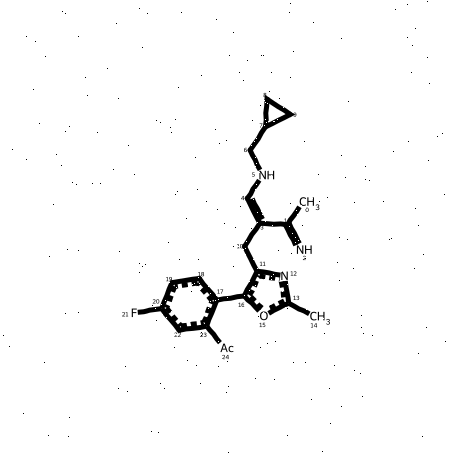 CC(=N)/C(=C\NCC1CC1)Cc1nc(C)oc1-c1ccc(F)cc1C(C)=O